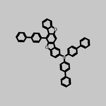 c1ccc(-c2ccc(-c3c4oc5ccc(N(c6ccc(-c7ccccc7)cc6)c6ccc(-c7ccccc7)cc6)cc5c4cc4oc5ccccc5c34)cc2)cc1